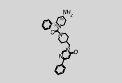 N[C@@H]1CCN(C(=O)N2CCC(Cn3cnc(-c4ccccc4)cc3=O)CC2)[C@H](c2ccccc2)C1